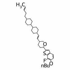 C/C=C/CCC1CCC(C2CCC(/C=C/C3CCC(c4cc5ccc(OCCCC)c(F)c5s4)OC3)CC2)CC1